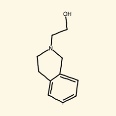 OCCN1CCc2c[c]ccc2C1